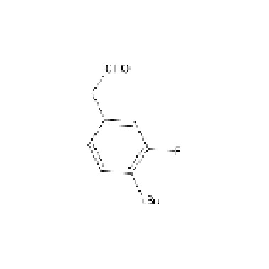 CC(C)(C)c1ccc(C[C]=O)cc1F